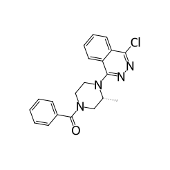 C[C@@H]1CN(C(=O)c2ccccc2)CCN1c1nnc(Cl)c2ccccc12